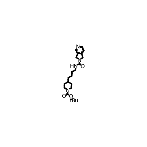 CC(C)(C)OC(=O)N1CCC(CCCCNC(=O)N2Cc3ccncc3C2)CC1